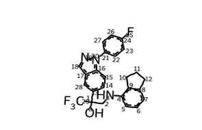 OC(CNc1cccc2c1CCC2)(c1ccc2c(cnn2-c2ccc(F)cc2)c1)C(F)(F)F